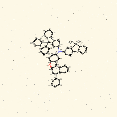 CC1(C)c2ccccc2-c2ccc(N(c3ccc4c(c3)C(c3ccccc3)(c3ccccc3)c3ccccc3-4)c3ccc4oc5cc(-c6ccccc6)c6ccccc6c5c4c3)cc21